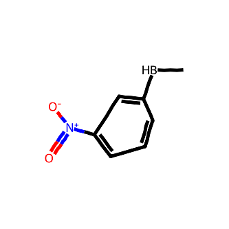 CBc1cccc([N+](=O)[O-])c1